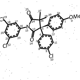 COc1ccc([C@@]2(c3ccc(Cl)cc3)C(=O)N(c3cc(Cl)cc(Cl)c3)C(=O)C2(C)C)cc1